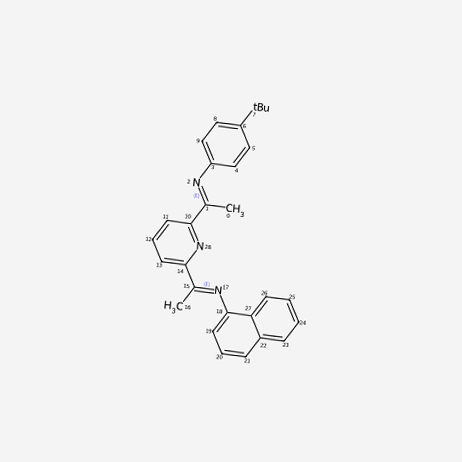 C/C(=N\c1ccc(C(C)(C)C)cc1)c1cccc(/C(C)=N/c2cccc3ccccc23)n1